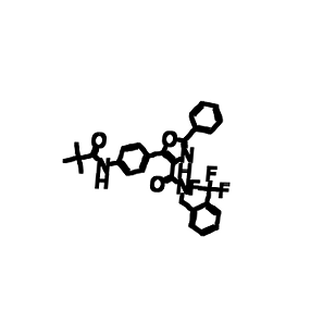 CC(C)(C)C(=O)Nc1ccc(-c2oc(-c3ccccc3)nc2C(=O)NCc2ccccc2C(F)(F)F)cc1